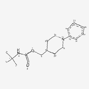 CC(C)(C)NC(=O)OCC1CCN(c2ccccc2)CC1